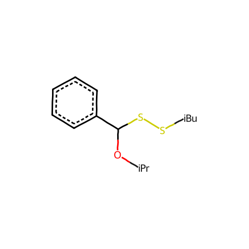 CCC(C)SSC(OC(C)C)c1ccccc1